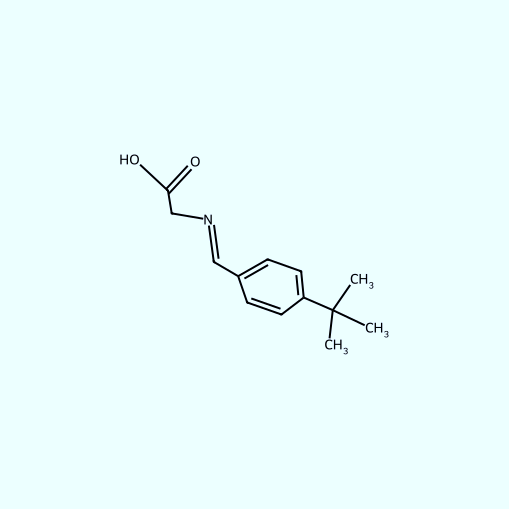 CC(C)(C)c1ccc(/C=N/CC(=O)O)cc1